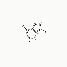 Cc1cc(O)c2cnn(C)c2n1